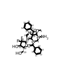 COC1N(N)CN(C(=O)c2ccccc2)C2N([C@@H]3O[C@H](CO)[C@@H](O)C3(F)F)C=NC12C(=O)c1ccccc1